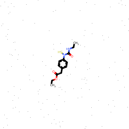 CCNC(=O)N(S)c1ccc(CC(=O)OCC)cc1